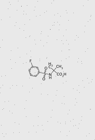 CC(C)(NS(=O)(=O)c1cccc(F)c1)C(=O)O